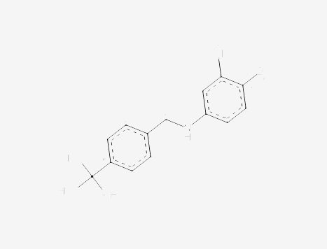 CC(C)(C)c1ccc(CNc2ccc(Br)c(Cl)c2)cc1